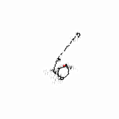 COc1cc2cc(c1Cl)N(C)C(=O)C[C@H](OC(=O)[C@H](C)N(C)C(=O)CCCCCn1cc(COCCOCCOCCOCCNC(=O)CCN3C(=O)C=CC3=O)nn1)[C@@]1(C)C[C@H]1[C@H](C)[C@@H]1C[C@@](O)(NC(=O)O1)C(OC)/C=C/C=C(\C)C2